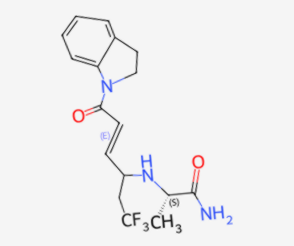 C[C@H](NC(/C=C/C(=O)N1CCc2ccccc21)CC(F)(F)F)C(N)=O